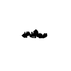 CC(C)N1CCC(N2CCCN(c3cccc(C(=O)NCCc4ccccn4)n3)CC2)CC1